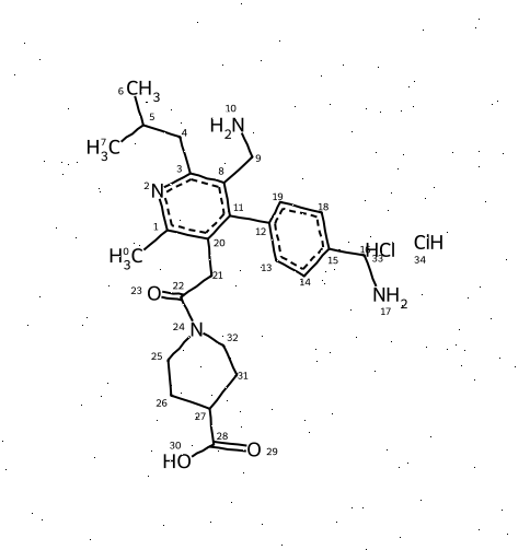 Cc1nc(CC(C)C)c(CN)c(-c2ccc(CN)cc2)c1CC(=O)N1CCC(C(=O)O)CC1.Cl.Cl